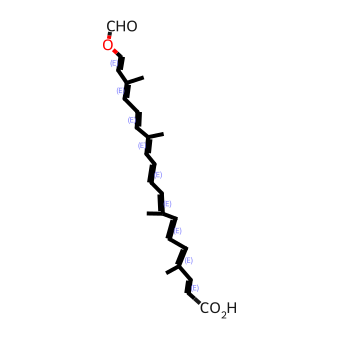 CC(/C=C/C=C(C)/C=C/OC=O)=C\C=C\C=C(C)\C=C\C=C(C)\C=C\C(=O)O